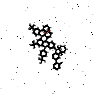 Cc1ccccc1-c1ccc2c(c1)C1(C)CCCCC1(C)N2c1ccc2c(c1)N(c1ccc(C(C)(C)C)cc1)c1cc(C(C)(C)C)cc3c1B2c1ccccc1N3c1ccc(C(C)(C)C)cc1-c1ccccc1